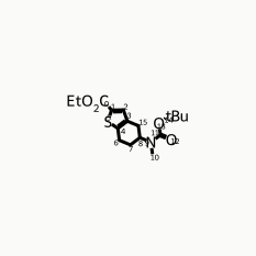 CCOC(=O)c1cc2c(s1)CCC(N(C)C(=O)OC(C)(C)C)C2